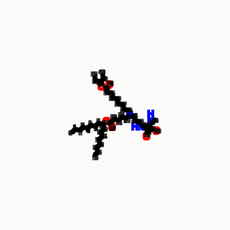 CCCCCCCCC(CCCCCCCC)OC(=O)CCCCN(CCCCCCCCC(=O)OC(CC)CC)CCCNc1c(NC)c(=O)c1=O